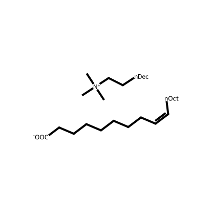 CCCCCCCC/C=C\CCCCCCCC(=O)[O-].CCCCCCCCCCCC[N+](C)(C)C